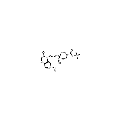 COc1ccc2ncc(=O)n(CCCC3(C=O)CCN(C(=O)OC(C)(C)C)CC3)c2c1